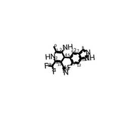 CC1=C(N)C(c2cc3cn[nH]c3cc2F)C(C#N)=C(C(F)F)N1